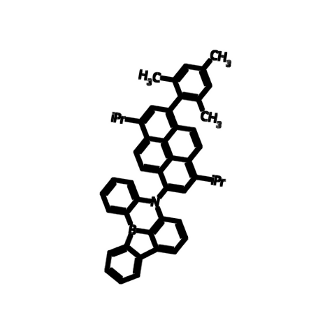 Cc1cc(C)c(-c2cc(C(C)C)c3ccc4c(N5c6ccccc6B6c7ccccc7-c7cccc5c76)cc(C(C)C)c5ccc2c3c54)c(C)c1